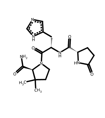 CC1(C)CCN(C(=O)[C@H](Cc2cnc[nH]2)NC(=O)[C@@H]2CCC(=O)N2)[C@@H]1C(N)=O